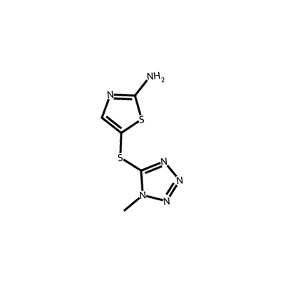 Cn1nnnc1Sc1cnc(N)s1